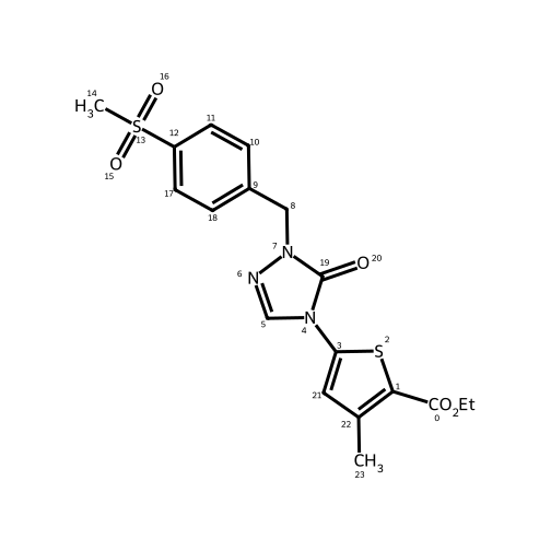 CCOC(=O)c1sc(-n2cnn(Cc3ccc(S(C)(=O)=O)cc3)c2=O)cc1C